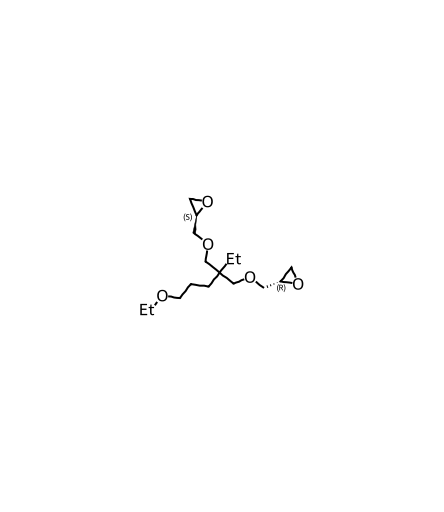 CCOCCCC(CC)(COC[C@@H]1CO1)COC[C@H]1CO1